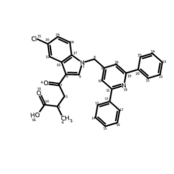 CC(CC(=O)c1cn(Cc2cc(-c3ccccc3)nc(-c3ccccc3)c2)c2ccc(Cl)cc12)C(=O)O